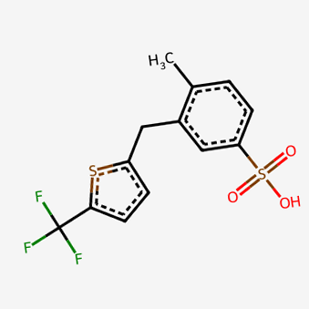 Cc1ccc(S(=O)(=O)O)cc1Cc1ccc(C(F)(F)F)s1